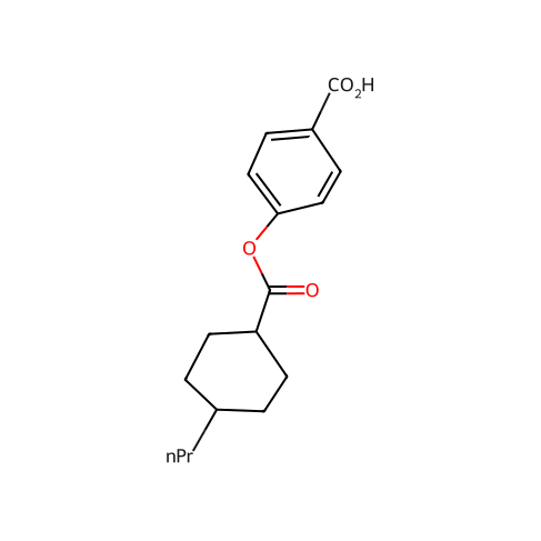 CCCC1CCC(C(=O)Oc2ccc(C(=O)O)cc2)CC1